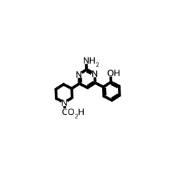 Nc1nc(-c2ccccc2O)cc(C2CCCN(C(=O)O)C2)n1